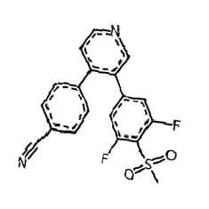 CS(=O)(=O)c1c(F)cc(-c2cnccc2-c2ccc(C#N)cc2)cc1F